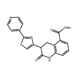 COC(=O)c1cccc2c1CC(c1csc(-c3ccncc3)n1)C(=O)N2